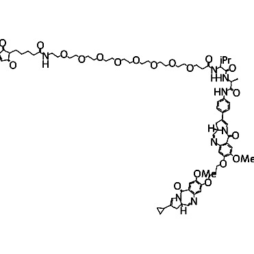 COc1cc2c(cc1OCCCOc1cc3c(cc1OC)C(=O)N1C=C(C4CC4)C[C@H]1C=N3)N=C[C@@H]1CC(c3ccc(NC(=O)[C@H](C)NC(=O)C(NC(=O)CCOCCOCCOCCOCCOCCOCCOCCOCCNC(=O)CCCCC4C(=O)C=CC4=O)C(C)C)cc3)=CN1C2=O